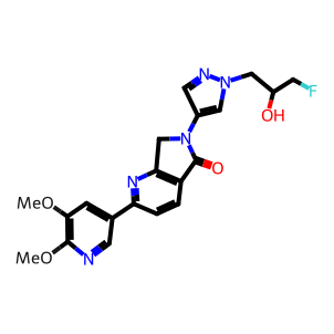 COc1cc(-c2ccc3c(n2)CN(c2cnn(CC(O)CF)c2)C3=O)cnc1OC